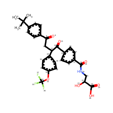 CC(C)(C)c1ccc(C(=O)CC(C(=O)c2ccc(C(=O)NCC(O)C(=O)O)cc2)c2ccc(OC(F)(F)F)cc2)cc1